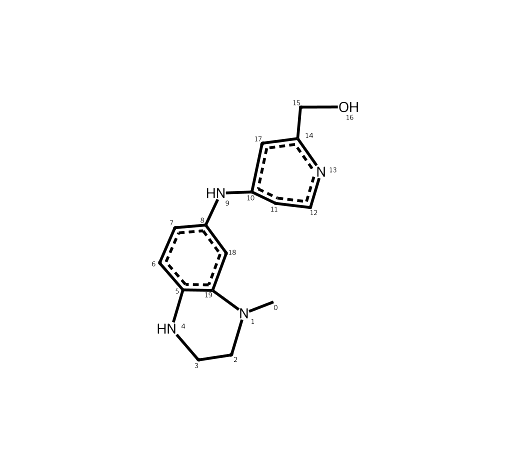 CN1CCNc2ccc(Nc3ccnc(CO)c3)cc21